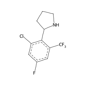 Fc1cc(Cl)c(C2CCCN2)c(C(F)(F)F)c1